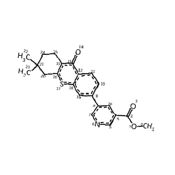 COC(=O)c1cncc(-c2ccc3c(=O)c4c(sc3c2)CC(C)(C)CC4)c1